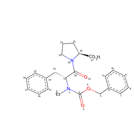 CCN(C(=O)OCc1ccccc1)[C@H](Cc1ccccc1)C(=O)N1CCC[C@H]1C(=O)O